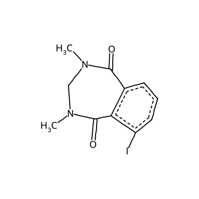 CN1CN(C)C(=O)c2c(I)cccc2C1=O